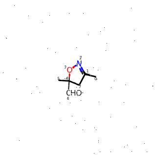 CC1=NOC(C)([C]=O)C1